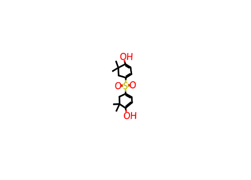 CC1(C)CC(S(=O)(=O)C2=CC=C(O)C(C)(C)C2)=CC=C1O